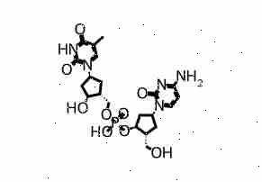 Cc1cn([C@@H]2C[C@H](COP(=O)(O)O[C@H]3C[C@H](n4ccc(N)nc4=O)C[C@@H]3CO)[C@@H](O)C2)c(=O)[nH]c1=O